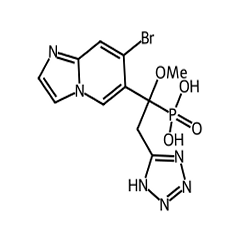 COC(Cc1nnn[nH]1)(c1cn2ccnc2cc1Br)P(=O)(O)O